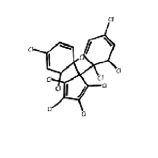 ClC1=CC(Cl)C(Cl)(C2(C3(Cl)C=CC(Cl)=CC3Cl)C(Cl)=C(Cl)C(Cl)=C2Cl)C=C1